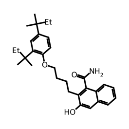 CCC(C)(C)c1ccc(OCCCCc2c(O)cc3ccccc3c2C(N)=O)c(C(C)(C)CC)c1